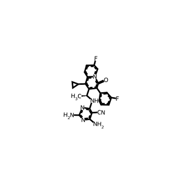 C[C@H](Nc1nc(N)nc(N)c1C#N)c1c(-c2cccc(F)c2)c(=O)n2cc(F)ccc2c1C1CC1